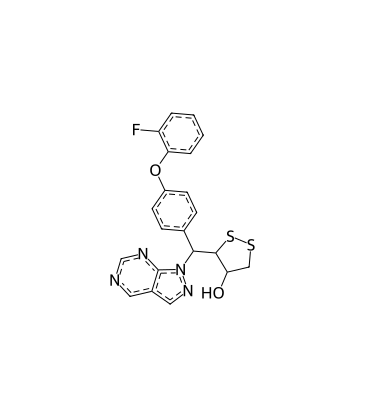 OC1CSSC1C(c1ccc(Oc2ccccc2F)cc1)n1ncc2cncnc21